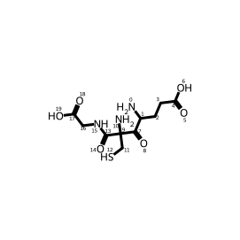 NC(CCC(=O)O)C(=O)C(N)(CS)C(=O)NCC(=O)O